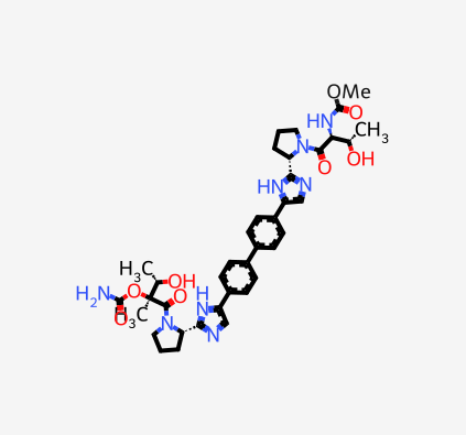 COC(=O)N[C@H](C(=O)N1CCC[C@H]1c1ncc(-c2ccc(-c3ccc(-c4cnc([C@@H]5CCCN5C(=O)[C@@](C)(OC(N)=O)[C@H](C)O)[nH]4)cc3)cc2)[nH]1)[C@H](C)O